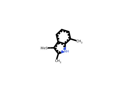 CSc1c(C)[nH]c2c(C)cccc12